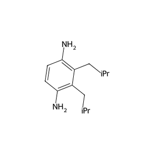 CC(C)Cc1c(N)ccc(N)c1CC(C)C